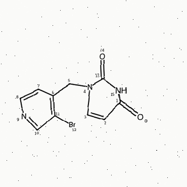 O=c1ccn(Cc2ccncc2Br)c(=O)[nH]1